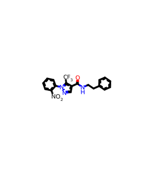 O=C(NCCc1ccccc1)c1cnn(-c2ccccc2[N+](=O)[O-])c1C(F)(F)F